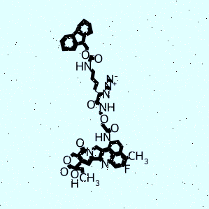 CC[C@@]1(O)C(=O)OCc2c1cc1n(c2=O)Cc2c-1nc1cc(F)c(C)c3c1c2[C@@H](NC(=O)COCNC(=O)[C@H](CCCCNC(=O)OCC1c2ccccc2-c2ccccc21)N=[N+]=[N-])CC3